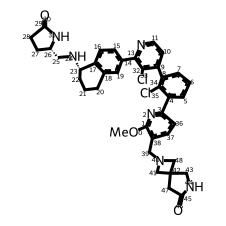 COc1nc(-c2cccc(-c3ccnc(-c4ccc5c(c4)CCC[C@@H]5NC[C@@H]4CCC(=O)N4)c3Cl)c2Cl)ccc1CN1CC2(CNC(=O)C2)C1